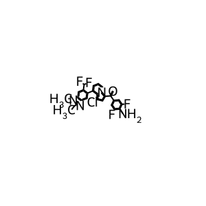 Cc1nc2c(Cl)c(-c3cccn4c(C(=O)c5cc(F)c(N)c(F)c5)ccc34)c(C(F)F)cc2n1C